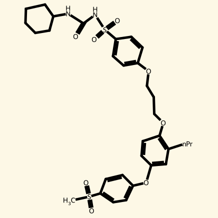 CCCc1cc(Oc2ccc(S(C)(=O)=O)cc2)ccc1OCCCOc1ccc(S(=O)(=O)NC(=O)NC2CCCCC2)cc1